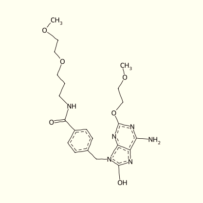 COCCOCCCNC(=O)c1ccc(Cn2c(O)nc3c(N)nc(OCCOC)nc32)cc1